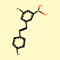 CC(C)c1ccc(/C=C/c2cc(B(O)O)cc(C(C)C)c2)cc1